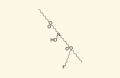 CCCCCCCCCOC(=O)CCCCCN(CCO)CCCCCCCC(=O)OC(CCCCCCCC)CCCCCCCCF